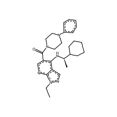 CCn1ncc2c(N[C@H](C)C3CCCCC3)c(C(=O)N3CCN(c4ccccc4)CC3)cnc21